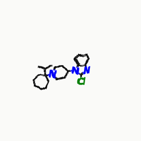 CC(C)C1(N2CCC(n3c(Cl)nc4ccccc43)CC2)CCCCCC1